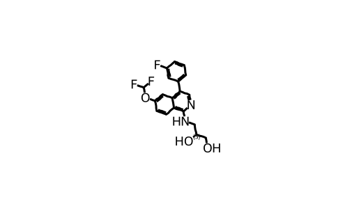 OC[C@@H](O)CNc1ncc(-c2cccc(F)c2)c2cc(OC(F)F)ccc12